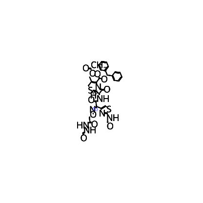 CC(=O)OCC1=C(C(=O)OC(c2ccccc2)c2ccccc2)N2C(=O)C(NC(=O)/C(=N/OCC(=O)NNC=O)c3csc(NC=O)n3)[C@H]2SC1